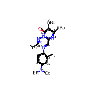 CCCCc1c(C(C)(C)C)nc(C=Nc2ccc(N(CC)CC)cc2C)n(/N=C/C(C)C)c1=O